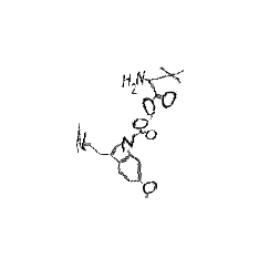 COc1ccc2c(CCN(C)C)cn(C(=O)OCOC(=O)C(N)C(C)(C)C)c2c1